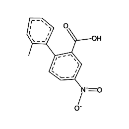 Cc1ccccc1-c1ccc([N+](=O)[O-])cc1C(=O)O